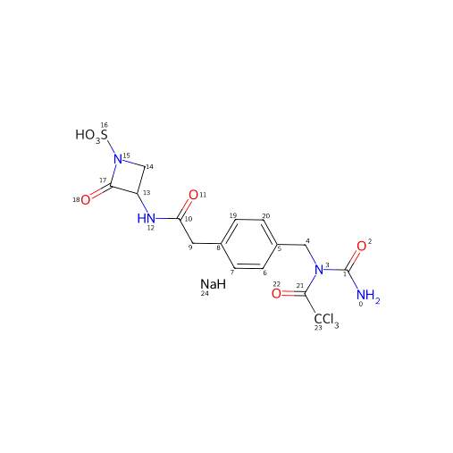 NC(=O)N(Cc1ccc(CC(=O)NC2CN(S(=O)(=O)O)C2=O)cc1)C(=O)C(Cl)(Cl)Cl.[NaH]